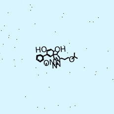 COc1ccccc1C1=CC(c2nnnn2CCCOC(C)C)(C(C)C)C(O)C=C1O